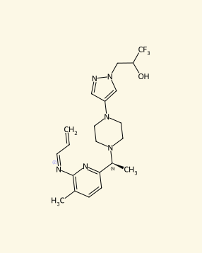 C=C/C=N\c1nc([C@H](C)N2CCN(c3cnn(CC(O)C(F)(F)F)c3)CC2)ccc1C